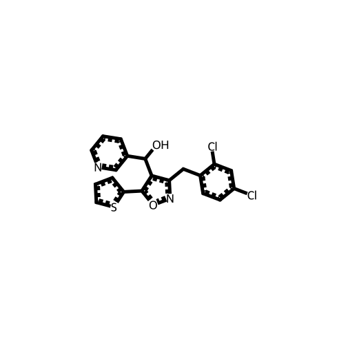 OC(c1cccnc1)c1c(Cc2ccc(Cl)cc2Cl)noc1-c1cccs1